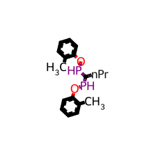 CCCC(POc1ccccc1C)POc1ccccc1C